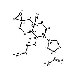 CCCC[C@H]1[C@H]([C@@H]2CC[C@H](C(C)=O)C2)CC[C@H]2CC3(CC[C@@H]21)CO3